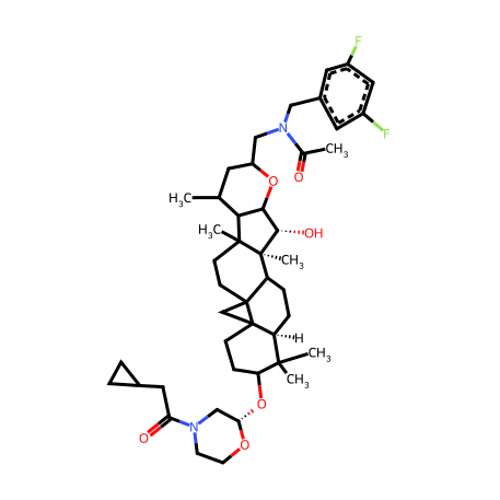 CC(=O)N(Cc1cc(F)cc(F)c1)CC1CC(C)C2C(O1)[C@H](O)[C@@]1(C)C3CC[C@H]4C(C)(C)C(O[C@H]5CN(C(=O)CC6CC6)CCO5)CCC45CC35CCC21C